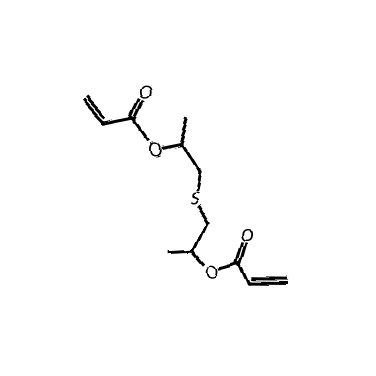 C=CC(=O)OC(C)CSCC(C)OC(=O)C=C